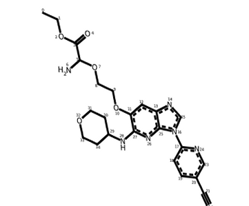 CCOC(=O)C(N)OCCOc1cc2ncn(-c3ccc(C#N)cn3)c2nc1NC1CCOCC1